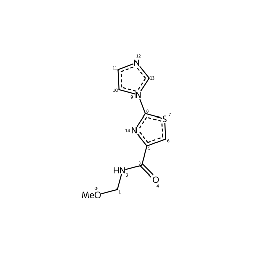 COCNC(=O)c1csc(-n2ccnc2)n1